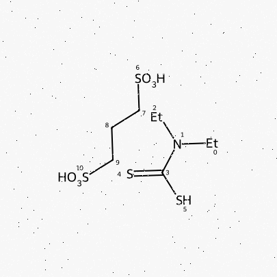 CCN(CC)C(=S)S.O=S(=O)(O)CCCS(=O)(=O)O